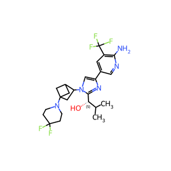 CC(C)[C@H](O)c1nc(-c2cnc(N)c(C(F)(F)F)c2)cn1C1CC2(N3CCC(F)(F)CC3)CC1C2